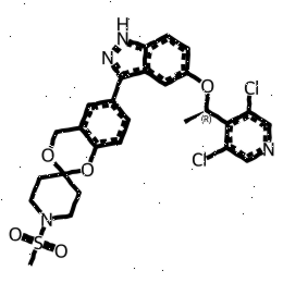 C[C@@H](Oc1ccc2[nH]nc(-c3ccc4c(c3)COC3(CCN(S(C)(=O)=O)CC3)O4)c2c1)c1c(Cl)cncc1Cl